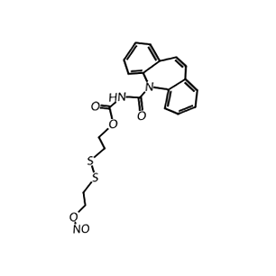 O=NOCCSSCCOC(=O)NC(=O)N1c2ccccc2C=Cc2ccccc21